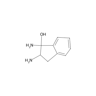 NC1Cc2ccccc2C1(N)O